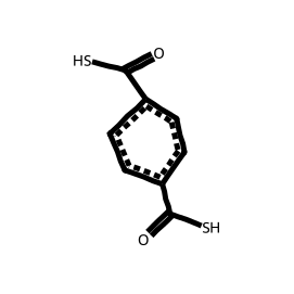 O=C(S)c1ccc(C(=O)S)cc1